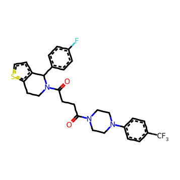 O=C(CCC(=O)N1CCc2sccc2C1c1ccc(F)cc1)N1CCN(c2ccc(C(F)(F)F)cc2)CC1